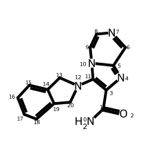 NC(=O)c1nc2cnccn2c1N1Cc2ccccc2C1